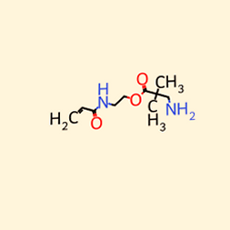 C=CC(=O)NCCOC(=O)C(C)(C)CN